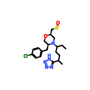 CCC(CCC(C)c1nnn[nH]1)N1C[C@H](C[S+]=O)OC[C@@H]1Cc1ccc(Cl)cc1